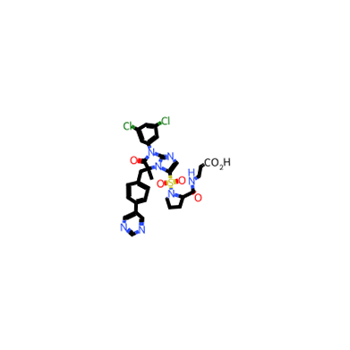 CC1(Cc2ccc(-c3cncnc3)cc2)C(=O)N(c2cc(Cl)cc(Cl)c2)c2ncc(S(=O)(=O)N3CCCC3C(=O)NCCC(=O)O)n21